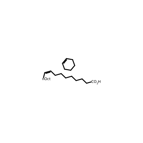 C1=CCCCC1.CCCCCCCC/C=C\CCCCCCCC(=O)O